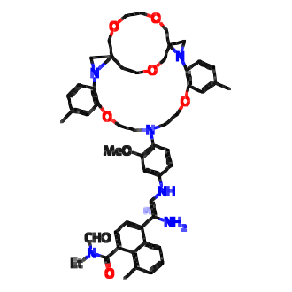 CCN(C=O)C(=O)c1ccc(/C(N)=C/Nc2ccc(N3CCOc4cc(C)ccc4N4CC45CCOCC4(COCCOC5)CN4c4ccc(C)cc4OCC3)c(OC)c2)c2cccc(C)c12